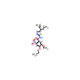 CCCOc1cc([N+](=O)[O-])c(C(=O)Nc2nnc(C(CC)CC)s2)cc1OC